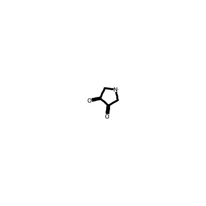 O=C1C[N]CC1=O